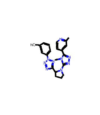 Cc1cc(-c2nnc(N3CCCC3c3nnn(-c4cccc(C#N)c4)n3)n2C)ccn1